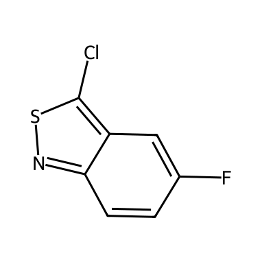 Fc1ccc2nsc(Cl)c2c1